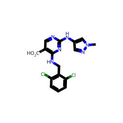 Cn1cc(Nc2ncc(C(=O)O)c(NCc3c(Cl)cccc3Cl)n2)cn1